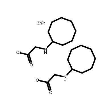 O=C([O-])CNC1CCCCCCC1.O=C([O-])CNC1CCCCCCC1.[Zn+2]